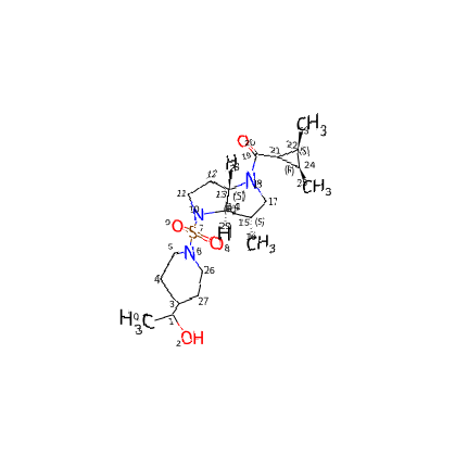 CC(O)C1CCN(S(=O)(=O)N2CC[C@H]3[C@H]2[C@@H](C)CN3C(=O)C2[C@@H](C)[C@H]2C)CC1